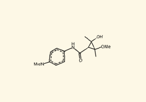 CNc1ccc(NC(=O)C2C(C)(O)C2(C)OC)cc1